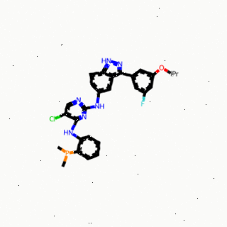 CC(C)Oc1cc(F)cc(-c2n[nH]c3ccc(Nc4ncc(Cl)c(Nc5ccccc5P(C)C)n4)cc23)c1